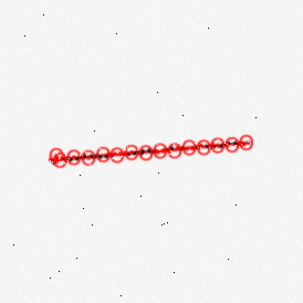 C=C(C)C(=O)OCCCCOCCCCOCCCCOCCCCOCCCCOCCCCOCCCCOCCCCOCCCCOCCCCOCCCCOCCCCOCCCCOC